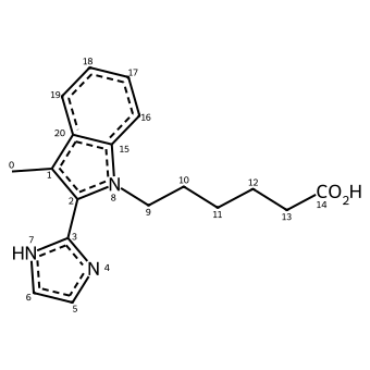 Cc1c(-c2ncc[nH]2)n(CCCCCC(=O)O)c2ccccc12